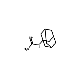 N=C(N)NC12CC3CC(CC(C3)C1)C2